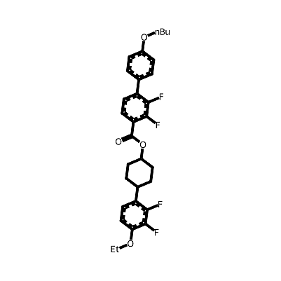 CCCCOc1ccc(-c2ccc(C(=O)OC3CCC(c4ccc(OCC)c(F)c4F)CC3)c(F)c2F)cc1